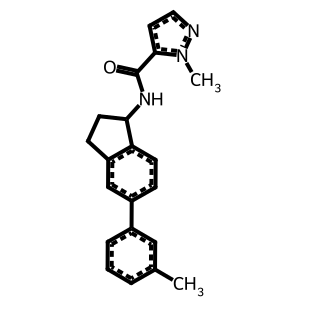 Cc1cccc(-c2ccc3c(c2)CCC3NC(=O)c2ccnn2C)c1